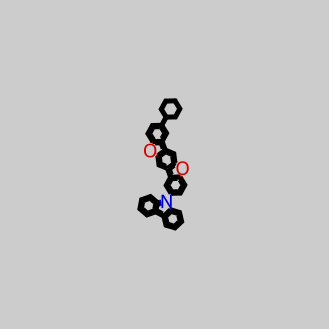 c1ccc2c(c1)c1ccccc1n2-c1ccc2oc3cc4c(cc3c2c1)oc1ccc(C2CCCCC2)cc14